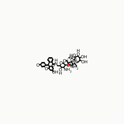 CCC(N)C(OC1NCC(O)C(O)C(O)C1O)C(O)[C@@H](CN)OC1OC(CNC(=O)c2ccccc2-c2c3ccc(=O)cc-3oc3cc(O)ccc23)C(O)C(N)C1O